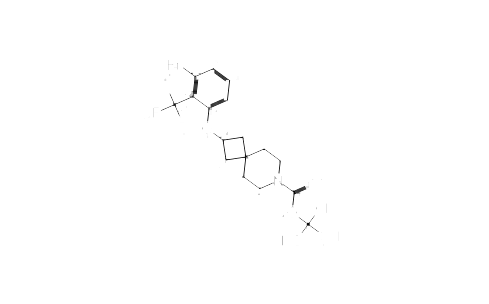 CC(C)(C)OC(=O)N1CCC2(CC1)CC(Oc1cccc(Br)c1C(F)(F)F)C2